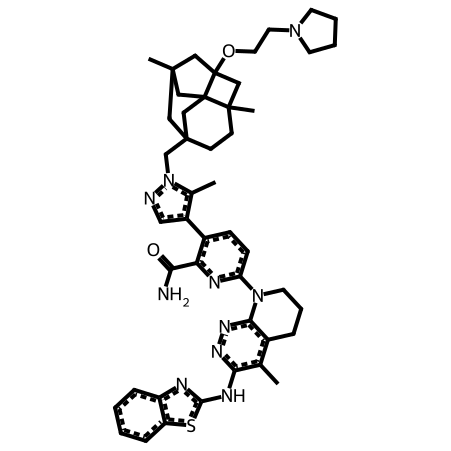 Cc1c(Nc2nc3ccccc3s2)nnc2c1CCCN2c1ccc(-c2cnn(CC34CCC5(C)CC6(OCCN7CCCC7)CC(C)(C3)CC56C4)c2C)c(C(N)=O)n1